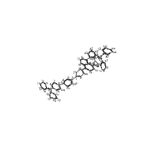 C1=C(c2ccc(-c3ccc(N(c4ccccc4)c4ccccc4)cc3)cc2)CCC(c2ccc3c4c(cccc24)-c2cccc(N(c4ccccc4)c4ccccc4)c2O3)=C1